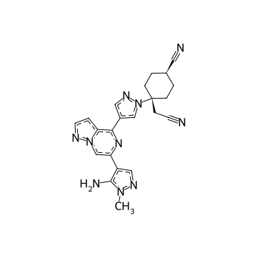 Cn1ncc(-c2cn3nccc3c(-c3cnn([C@]4(CC#N)CC[C@@H](C#N)CC4)c3)n2)c1N